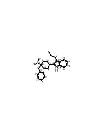 CCCc1c(C2CCC(Cc3ccccc3)(N(C)C)CC2)[nH]c2ccccc12